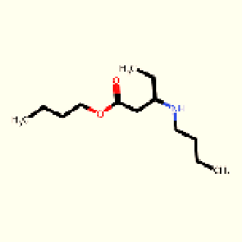 CCCCNC(CC)CC(=O)OCCCC